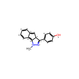 CN1N=C(c2ccc(O)cc2)C2C=c3ccccc3=C21